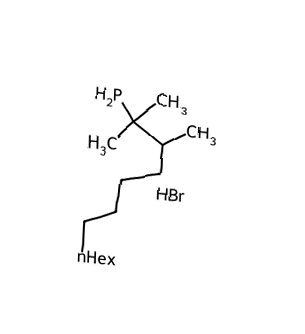 Br.CCCCCCCCCCC(C)C(C)(C)P